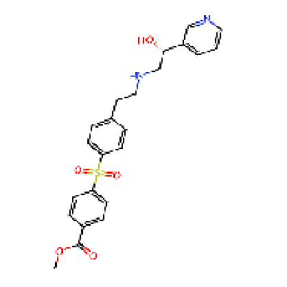 COC(=O)c1ccc(S(=O)(=O)c2ccc(CCNC[C@H](O)c3cccnc3)cc2)cc1